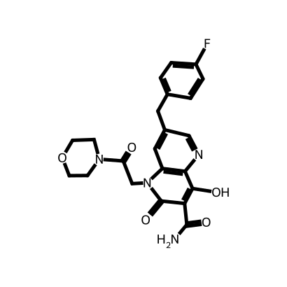 NC(=O)c1c(O)c2ncc(Cc3ccc(F)cc3)cc2n(CC(=O)N2CCOCC2)c1=O